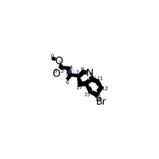 COC(=O)/C=C(\C)c1cnc2ccc(Br)cc2c1